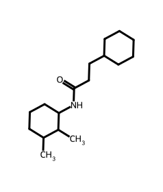 CC1CCCC(NC(=O)CCC2CCCCC2)C1C